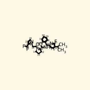 CC(C)c1ccc([C@@H](NC(=O)[C@@H]2CCCN2C(=O)Cn2nccc2C(F)F)c2ccccc2)nc1F